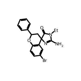 CCN1C(=O)C2(CC(c3ccccc3)Oc3ccc(Br)cc32)N=C1N